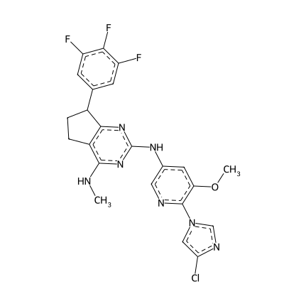 CNc1nc(Nc2cnc(-n3cnc(Cl)c3)c(OC)c2)nc2c1CCC2c1cc(F)c(F)c(F)c1